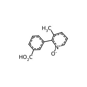 Cc1ccc[n+]([O-])c1-c1cccc(C(=O)O)c1